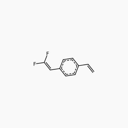 C=Cc1ccc(C=C(F)F)cc1